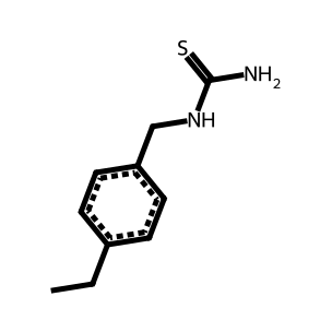 CCc1ccc(CNC(N)=S)cc1